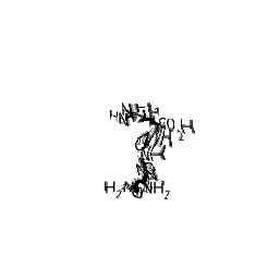 N=C(N)NCCC[C@H](NC(=O)NCc1nc([C@@H](N)CC(N)=O)no1)C(=O)O